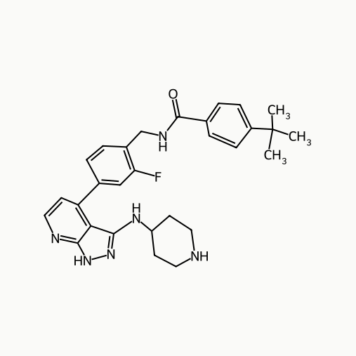 CC(C)(C)c1ccc(C(=O)NCc2ccc(-c3ccnc4[nH]nc(NC5CCNCC5)c34)cc2F)cc1